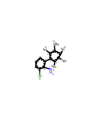 [2H]c1c([2H])c(-c2cccc(Br)c2N)c([2H])c(C(C)(C)C)c1[2H]